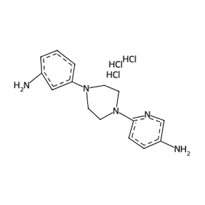 Cl.Cl.Cl.Nc1ccc(N2CCN(c3cccc(N)c3)CC2)nc1